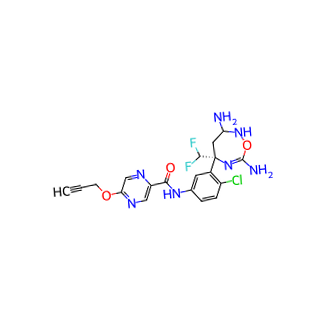 C#CCOc1cnc(C(=O)Nc2ccc(Cl)c([C@@]3(C(F)F)CC(N)NOC(N)=N3)c2)cn1